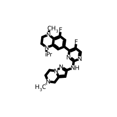 CC(C)N1CCN(C)c2c(F)cc(-c3nc(Nc4cc5n(n4)CCN(C)C5)ncc3F)cc21